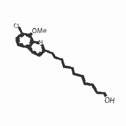 COc1c(Cl)ccc2ccc(CCCCCCCCCCCO)nc12